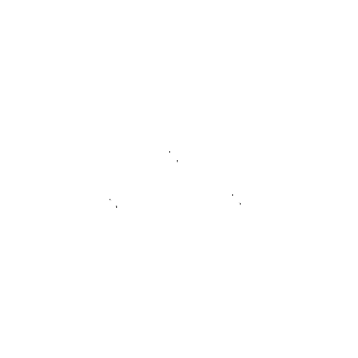 [c]1ncc2n1C=C[N]2